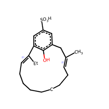 CC/C1=C\CCCCCCC/C=C(\C)Cc2cc(S(=O)(=O)O)cc1c2O